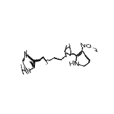 O=[N+]([O-])C1=C(NCCSCc2c[nH]cn2)NCC1